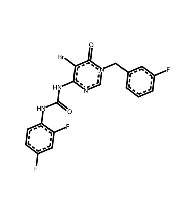 O=C(Nc1ccc(F)cc1F)Nc1ncn(Cc2cccc(F)c2)c(=O)c1Br